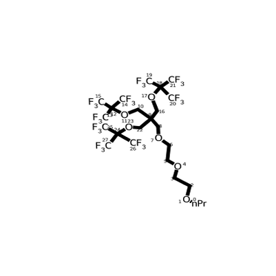 CCCOCCOCCOCC(COC(C(F)(F)F)(C(F)(F)F)C(F)(F)F)(COC(C(F)(F)F)(C(F)(F)F)C(F)(F)F)COC(C(F)(F)F)(C(F)(F)F)C(F)(F)F